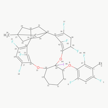 CCc1c(F)cc(F)c(OC2CCCCC3Oc4c(F)cc(F)c(c4F)C45CC6(C)CC4CC(C6)(C5)C4=C(F)CC(F)C(=C4F)OC23I)c1F